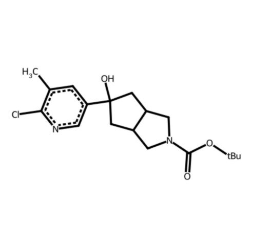 Cc1cc(C2(O)CC3CN(C(=O)OC(C)(C)C)CC3C2)cnc1Cl